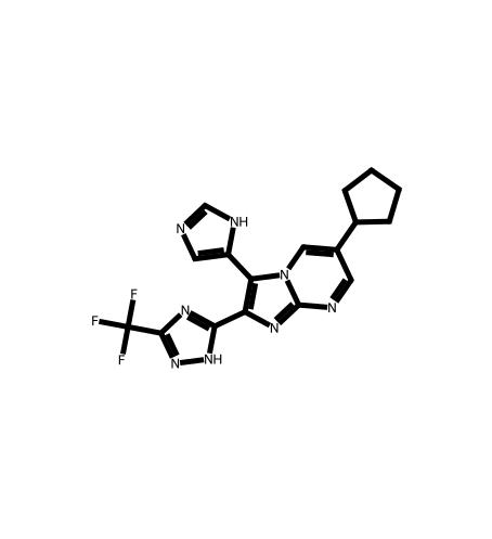 FC(F)(F)c1n[nH]c(-c2nc3ncc(C4CCCC4)cn3c2-c2cnc[nH]2)n1